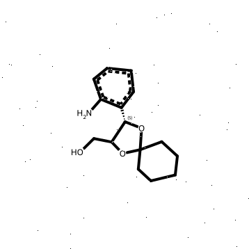 Nc1ccccc1[C@@H]1OC2(CCCCC2)OC1CO